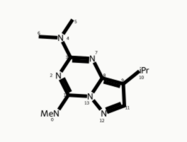 CNc1nc(N(C)C)nc2c(C(C)C)cnn12